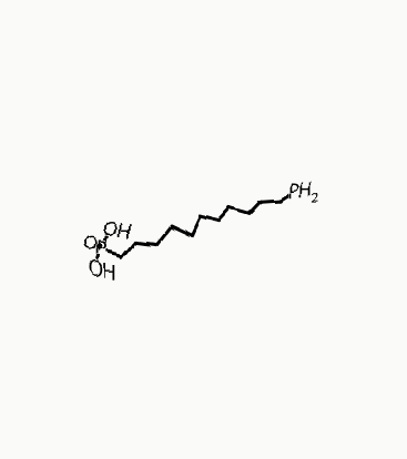 O=P(O)(O)CCCCCCCCCCCP